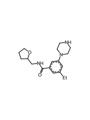 CCc1cc(C(=O)NCC2CCCO2)cc(N2CCNCC2)c1